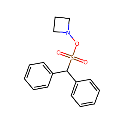 O=S(=O)(ON1CCC1)C(c1ccccc1)c1ccccc1